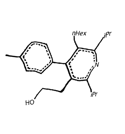 CCCCCCc1c(C(C)C)nc(C(C)C)c(CCO)c1-c1ccc(C)cc1